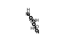 Cc1cc(-c2cn[nH]c2)ccc1C(=O)N[C@H](C)c1cccc(C(=O)NC2CCN(C)CC2)c1